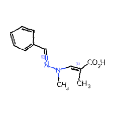 C/C(=C\N(C)/N=C/c1ccccc1)C(=O)O